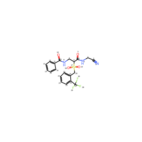 N#CCNC(=O)C(CNC(=O)c1ccccc1)S(=O)(=O)Cc1ccccc1C(F)(F)F